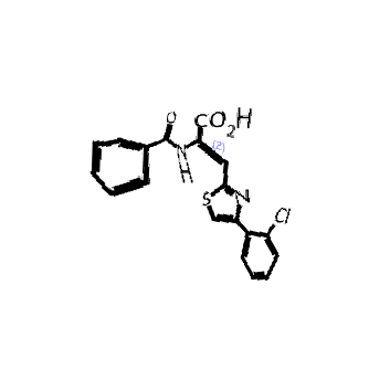 O=C(O)/C(=C/c1nc(-c2ccccc2Cl)cs1)NC(=O)c1ccccc1